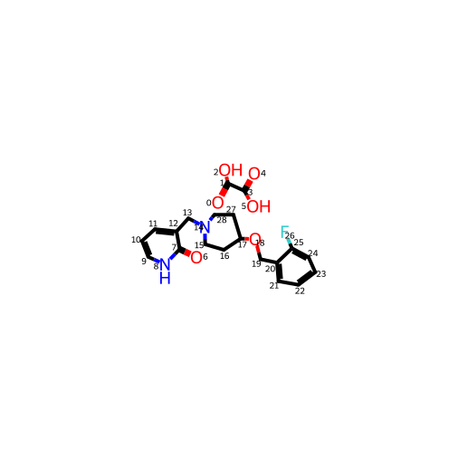 O=C(O)C(=O)O.O=c1[nH]cccc1CN1CCC(OCc2ccccc2F)CC1